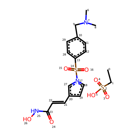 CCS(=O)(=O)O.CN(C)Cc1ccc(S(=O)(=O)n2ccc(C=CC(=O)NO)c2)cc1